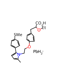 CCOC(Cc1ccc(OCCn2c(C)ccc2-c2ccc(SC)cc2)cc1)C(=O)O.[PbH2]